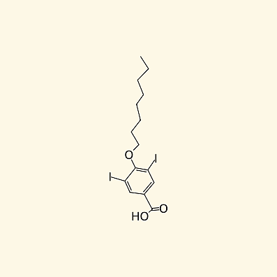 CCCCCCCCOc1c(I)cc(C(=O)O)cc1I